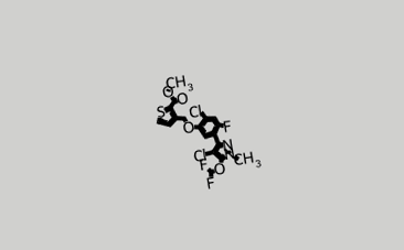 COC(=O)c1sccc1COc1cc(-c2nn(C)c(OC(F)F)c2Cl)c(F)cc1Cl